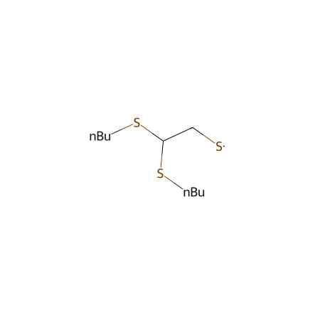 CCCCSC(C[S])SCCCC